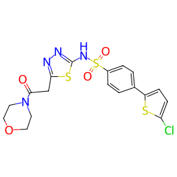 O=C(Cc1nnc(NS(=O)(=O)c2ccc(-c3ccc(Cl)s3)cc2)s1)N1CCOCC1